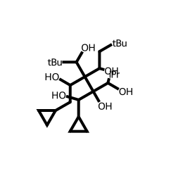 CC(C)C(O)C(O)(C(O)C1CC1)C(C(O)CC1CC1)(C(O)CC(C)(C)C)C(O)C(C)(C)C